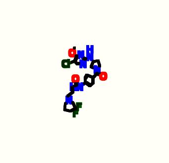 COc1nc(N[C@@H]2CCN(C(=O)c3ccc(NC(=O)/C=C/CN4CCCC(F)(F)C4)cc3)C2)ncc1Cl